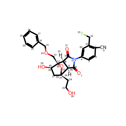 N#Cc1ccc(N2C(=O)[C@@H]3[C@H](C2=O)[C@]2(COCc4ccccc4)O[C@@]3(CCO)C[C@H]2O)cc1CF